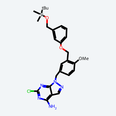 COc1ccc(Cn2ncc3c(N)nc(Cl)nc32)cc1COc1cccc(CO[Si](C)(C)C(C)(C)C)c1